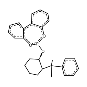 CC(C)(c1ccccc1)C1CCCC[C@H]1Op1oc2ccccc2c2ccccc2o1